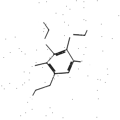 CCOc1c(C)cc(CCN)c(S)c1OCC